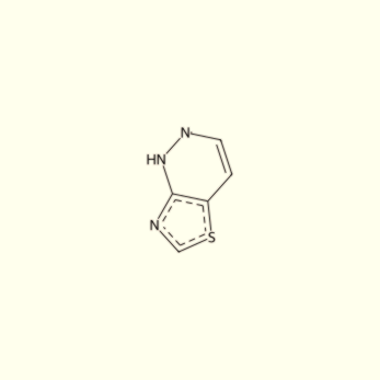 C1=Cc2scnc2N[N]1